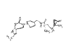 Cc1cc2cn(-c3ccc(CNC(=O)[C@@H](N)CNC(=N)N)cc3)c(=O)nc2[nH]1